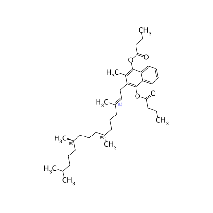 CCCC(=O)Oc1c(C)c(C/C=C(\C)CCC[C@H](C)CCC[C@H](C)CCCC(C)C)c(OC(=O)CCC)c2ccccc12